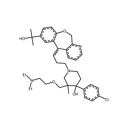 CCN(CC)CCOCC1(C)CN(CC/C=C2/c3cc(C(C)(C)O)ccc3OCc3ncccc32)CCC1(O)c1ccc(Cl)cc1